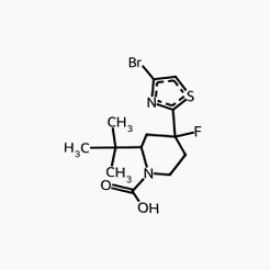 CC(C)(C)C1CC(F)(c2nc(Br)cs2)CCN1C(=O)O